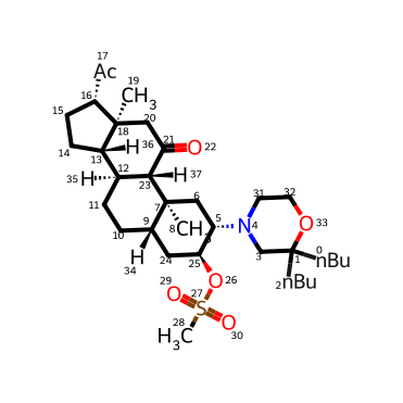 CCCCC1(CCCC)CN([C@H]2C[C@@]3(C)[C@@H](CC[C@H]4[C@@H]5CC[C@H](C(C)=O)[C@@]5(C)CC(=O)[C@@H]43)C[C@@H]2OS(C)(=O)=O)CCO1